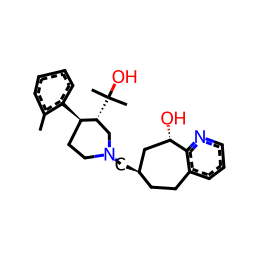 Cc1ccccc1[C@@H]1CCN(C[C@@H]2CCc3cccnc3[C@@H](O)C2)C[C@H]1C(C)(C)O